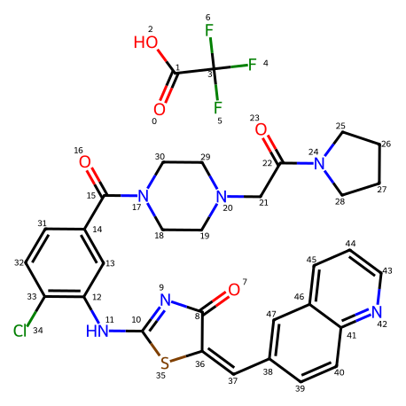 O=C(O)C(F)(F)F.O=C1N=C(Nc2cc(C(=O)N3CCN(CC(=O)N4CCCC4)CC3)ccc2Cl)SC1=Cc1ccc2ncccc2c1